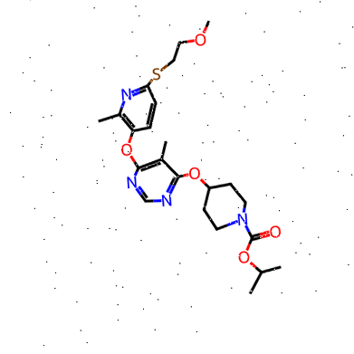 COCCSc1ccc(Oc2ncnc(OC3CCN(C(=O)OC(C)C)CC3)c2C)c(C)n1